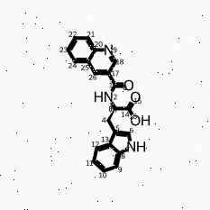 O=C(N[C@H](Cc1c[nH]c2ccccc12)C(=O)O)c1cnc2ccccc2c1